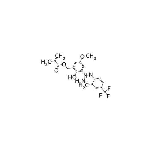 C=C(C)C(=O)OCc1cc(OC)cc(N(N)/N=C2/C=CC(C(F)(F)F)=CC2=C)c1O